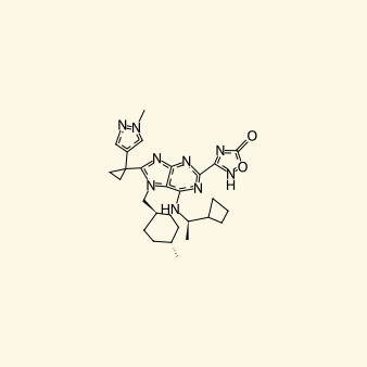 C[C@@H](Nc1nc(-c2nc(=O)o[nH]2)nc2nc(C3(c4cnn(C)c4)CC3)n(C[C@H]3CC[C@H](C)CC3)c12)C1CCC1